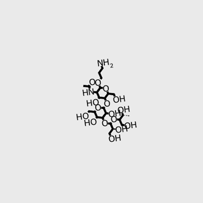 CC(=O)NC1C(OCCCN)OC(CO)C(OC2OC(CO)C(O)C(OC(OC(CO)[C@@H](C)O)[C@@H](O)CO)C2O)C1O